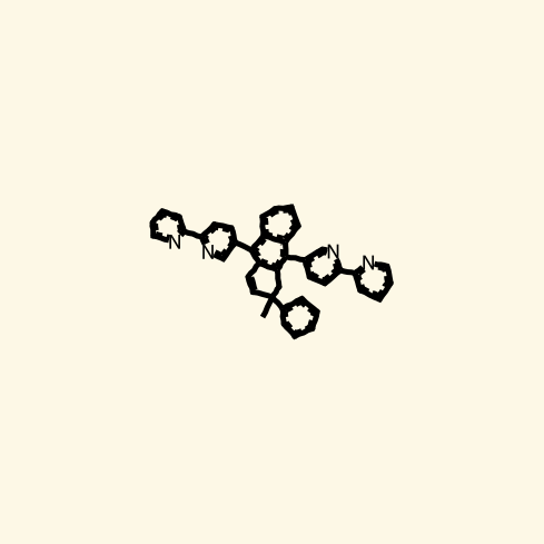 CC1(c2ccccc2)C=Cc2c(c(-c3ccc(-c4ccccn4)nc3)c3ccccc3c2-c2ccc(-c3ccccn3)nc2)C1